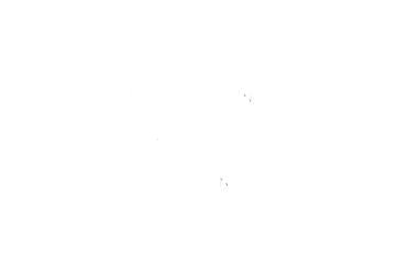 CON=C(C)C=NO.O=C1CCCCC1=O